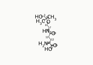 CC(C)(CO)OCCNC(=O)CCC(N)C(=O)O